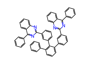 c1ccc(-c2cccc(-c3cccc(-c4nc(-c5ccccc5)c5ccccc5n4)c3)c2-c2cccc(-c3nc(-c4ccccc4)c4ccccc4n3)c2)cc1